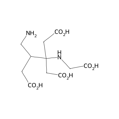 NCC(CC(=O)O)C(CC(=O)O)(CC(=O)O)NCC(=O)O